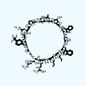 CCCC[C@H]1C(=O)N(C)[C@@H](CCCC)C(=O)N[C@@H](CCCNC(=N)N)C(=O)N[C@H](C(O)NCC(N)=O)CSCC(=O)N[C@@H](Cc2ccc(C(F)(F)F)cc2)C(=O)N(C)[C@@H](C)C(=O)N[C@@H](CC(N)=O)C(=O)N2CCC[C@H]2C(=O)N[C@@H](CN)C(=O)N[C@@H](CC(C)C)C(=O)N2C[C@H](O)CC2C(=O)N[C@@H](Cc2c[nH]c3ccccc23)C(=O)N[C@@H](CO)C(=O)N[C@@H](Cc2c[nH]c3ccccc23)C(=O)N1C